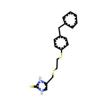 S=c1[nH]cc(CSCCSc2ccc(Cc3ccccc3)cc2)[nH]1